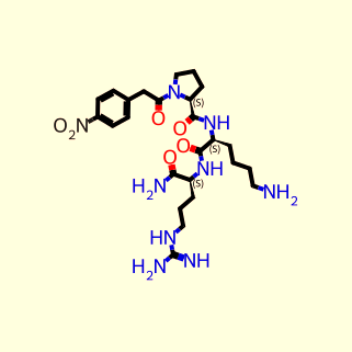 N=C(N)NCCC[C@H](NC(=O)[C@H](CCCCN)NC(=O)[C@@H]1CCCN1C(=O)Cc1ccc([N+](=O)[O-])cc1)C(N)=O